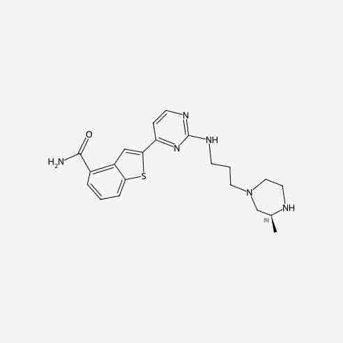 C[C@H]1CN(CCCNc2nccc(-c3cc4c(C(N)=O)cccc4s3)n2)CCN1